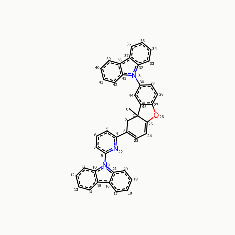 CC12CC(c3cccc(-n4c5ccccc5c5ccccc54)n3)=CC=C1Oc1ccc(-n3c4ccccc4c4ccccc43)cc12